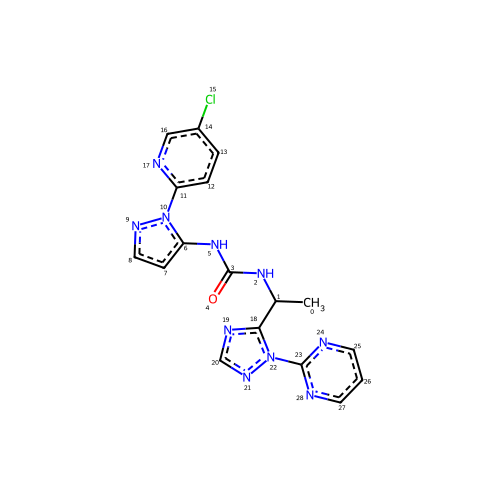 CC(NC(=O)Nc1ccnn1-c1ccc(Cl)cn1)c1ncnn1-c1ncccn1